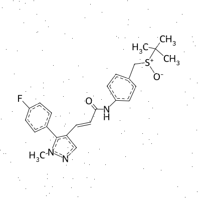 Cn1ncc(C=CC(=O)Nc2ccc(C[S+]([O-])C(C)(C)C)cc2)c1-c1ccc(F)cc1